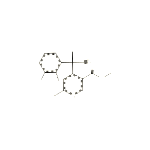 COC(=O)c1cnc(Cl)cc1C(C)(C#N)c1cccc(F)c1F